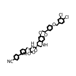 COC(=O)[C@H](Cc1ccc(-c2ccc(C#N)cc2)cc1)NC(=O)[C@H]1CNc2cc3c(cc2C1)OCC(c1ccc(OCc2ccc(Cl)c(Cl)c2)cc1)O3